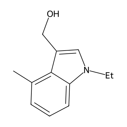 CCn1cc(CO)c2c(C)cccc21